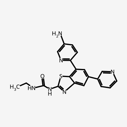 CCNC(=O)Nc1nc2cc(-c3cccnc3)cc(-c3ccc(N)cn3)c2s1